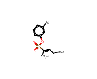 COCC=C(C(=O)O)S(=O)(=O)Oc1cccc(C(C)=O)c1